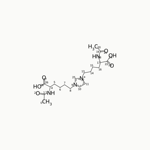 CC(=O)NC(CCCCn1cc[n+](CCCCC(NC(C)=O)C(=O)O)c1)C(=O)O